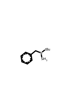 CC(C)(C)N([SiH3])Cc1ccccc1